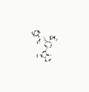 Cc1ccc(-c2c[nH]c3ccccc23)cc1OC(=O)c1cocn1